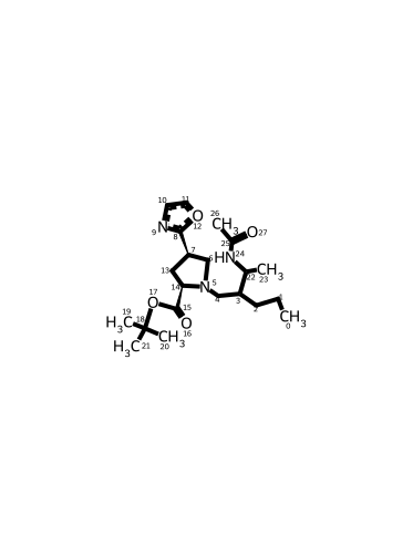 CCCC(CN1C[C@H](c2ncco2)C[C@@H]1C(=O)OC(C)(C)C)C(C)NC(C)=O